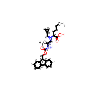 CCCC[C@@H](C(=O)O)N(/C=C(\C)NC(=O)OCC1c2ccccc2-c2ccccc21)CC1CC1